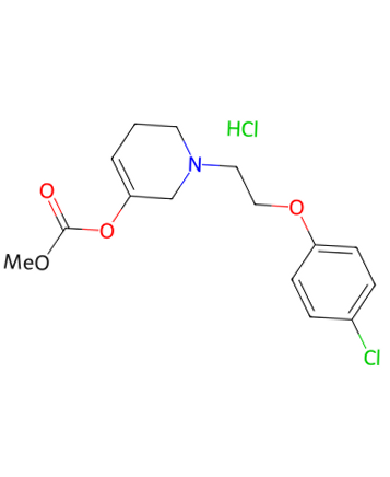 COC(=O)OC1=CCCN(CCOc2ccc(Cl)cc2)C1.Cl